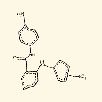 Nc1ccc(NC(=O)c2ccccc2Nc2ccc([N+](=O)[O-])cc2)cc1